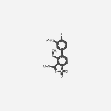 C=Nc1c(-c2ccc(F)c(OC)c2)ccc2c1C(NC)=NS2(=O)=O